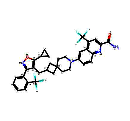 NC(=O)c1cc(C(F)(F)F)c2cc(N3CCC4(CC3)CC(Cc3c(-c5ccccc5C(F)(F)F)noc3C3CC3)C4)ccc2n1